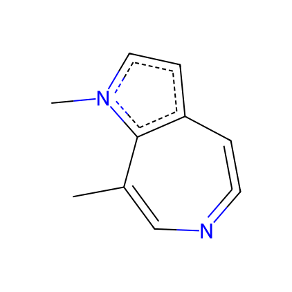 CC1=CN=C=Cc2ccn(C)c21